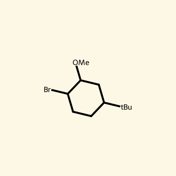 COC1CC(C(C)(C)C)CCC1Br